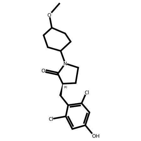 COC1CCC(N2CC[C@@H](Cc3c(Cl)cc(O)cc3Cl)C2=O)CC1